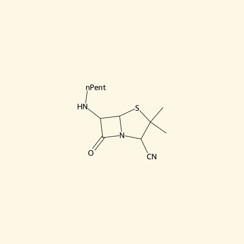 CCCCCNC1C(=O)N2C1SC(C)(C)C2C#N